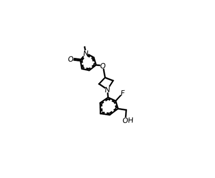 Cn1cc(OC2CN(c3cccc(CO)c3F)C2)ccc1=O